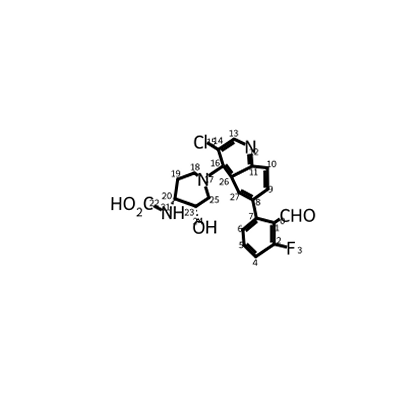 O=Cc1c(F)cccc1-c1ccc2ncc(Cl)c(N3CC[C@@H](NC(=O)O)[C@@H](O)C3)c2c1